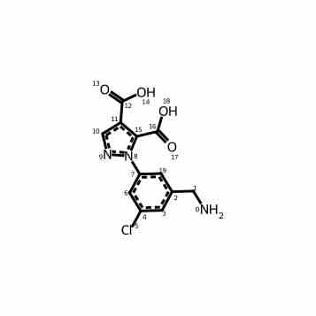 NCc1cc(Cl)cc(-n2ncc(C(=O)O)c2C(=O)O)c1